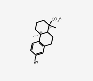 CC(C)c1ccc2c(c1)CCC1[C@](C)(C(=O)O)CCC[C@]21C